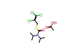 CC(=O)O.CC(C)N(C(=O)SCC(Cl)=C(Cl)Cl)C(C)C